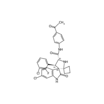 CC(=O)c1ccc(NC(=O)[C@@H]2NC3(CCC3)[C@@]3(C(=O)Nc4cc(Cl)ccc43)[C@H]2c2cccc(Cl)c2F)cc1